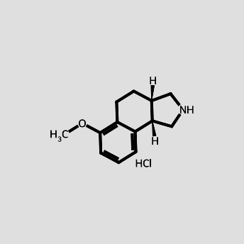 COc1cccc2c1CC[C@@H]1CNC[C@H]21.Cl